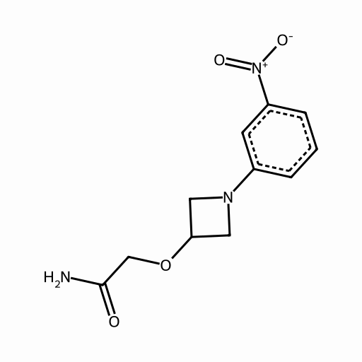 NC(=O)COC1CN(c2cccc([N+](=O)[O-])c2)C1